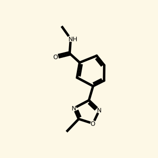 CNC(=O)c1cccc(-c2noc(C)n2)c1